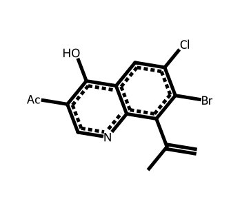 C=C(C)c1c(Br)c(Cl)cc2c(O)c(C(C)=O)cnc12